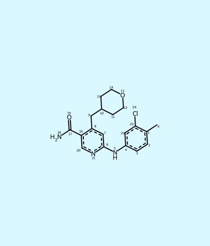 Cc1ccc(Nc2cc(CC3CCOCC3)c(C(N)=O)cn2)cc1Cl